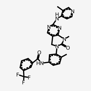 Cc1cnccc1Nc1ncc2c(n1)N(C)C(=O)N(c1cc(NC(=O)c3cccc(C(F)(F)F)c3)ccc1C)C2